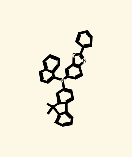 CC1(C)c2ccccc2-c2ccc(N(c3ccc4nc(-c5ccccc5)sc4c3)c3cccc4ccccc34)cc21